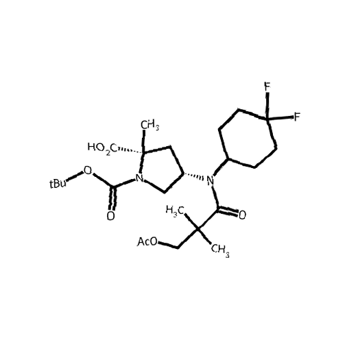 CC(=O)OCC(C)(C)C(=O)N(C1CCC(F)(F)CC1)[C@@H]1CN(C(=O)OC(C)(C)C)[C@](C)(C(=O)O)C1